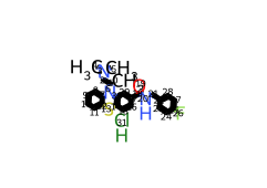 C[C@H](CN(C)C)N1c2ccccc2Sc2ccc(C(=O)NCc3ccc(F)cc3)cc21.Cl